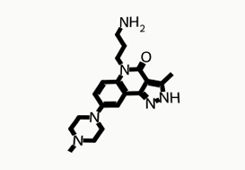 Cc1[nH]nc2c1c(=O)n(CCCN)c1ccc(N3CCN(C)CC3)cc21